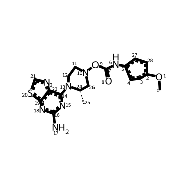 COc1ccc(NC(=O)ON2CCN(c3nc(N)nc4scnc34)[C@@H](C)C2)cc1